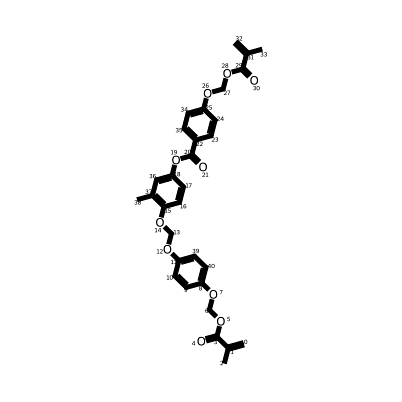 C=C(C)C(=O)OCOc1ccc(OCOc2ccc(OC(=O)c3ccc(OCOC(=O)C(=C)C)cc3)cc2C)cc1